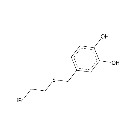 CC(C)CCSCc1ccc(O)c(O)c1